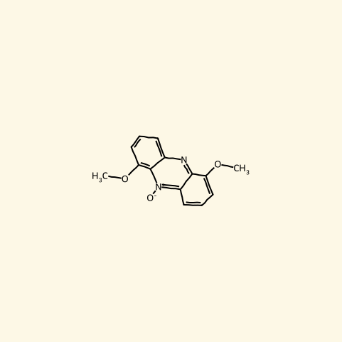 COc1cccc2c1nc1cccc(OC)c1[n+]2[O-]